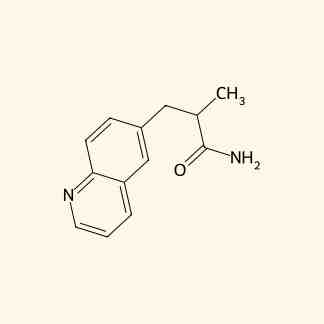 CC(Cc1ccc2ncccc2c1)C(N)=O